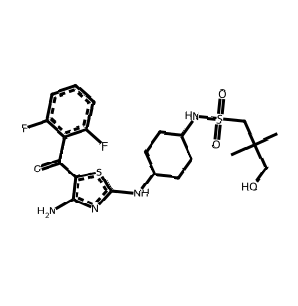 CC(C)(CO)CS(=O)(=O)NC1CCC(Nc2nc(N)c(C(=O)c3c(F)cccc3F)s2)CC1